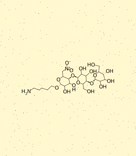 NCCCCCO[C@@H]1OC(C[N+](=O)[O-])[C@@H](O[C@@H]2OC(CO)[C@H](O[C@H]3OC(CO)[C@H](O)C(O)C3O)C(O)C2O)C(O)C1O